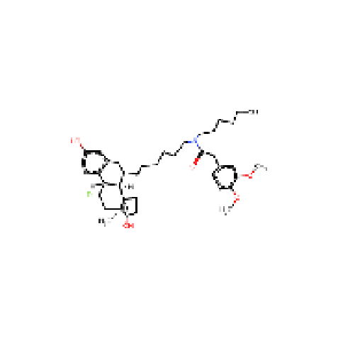 CCCCCCN(CCCCCC[C@@H]1Cc2cc(O)ccc2[C@@H]2[C@@H]1[C@@H]1CC[C@H](O)[C@@]1(C)C[C@@H]2F)C(=O)Cc1ccc(OC)c(OC)c1